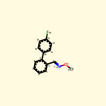 CCO/N=C/c1ccccc1-c1ccc(F)cc1